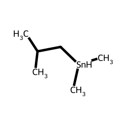 CC(C)[CH2][SnH]([CH3])[CH3]